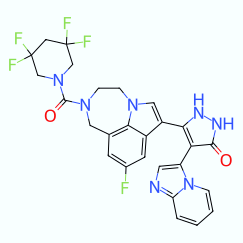 O=C(N1CCn2cc(-c3[nH][nH]c(=O)c3-c3cnc4ccccn34)c3cc(F)cc(c32)C1)N1CC(F)(F)CC(F)(F)C1